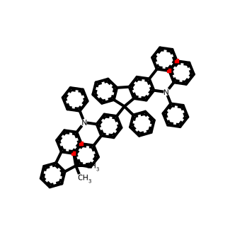 CC1(C)c2ccccc2-c2ccc(N(c3ccccc3)c3cc(C4(c5ccccc5)c5ccccc5-c5cc(-c6ccccc6)c(N(c6ccccc6)c6ccccc6)cc54)ccc3-c3ccccc3)cc21